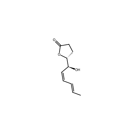 C/C=C/C=C\[C@H](O)[C@H]1CCC(=O)O1